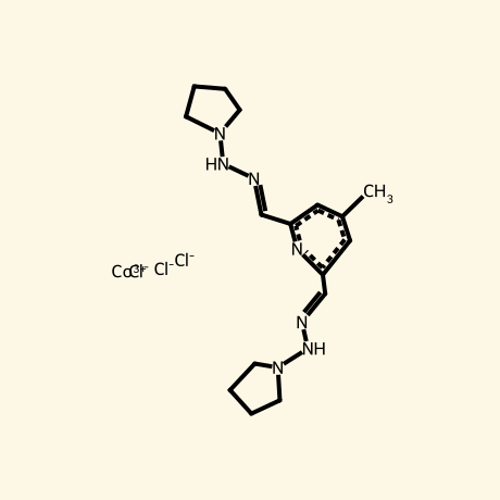 Cc1cc(C=NNN2CCCC2)nc(C=NNN2CCCC2)c1.[Cl-].[Cl-].[Cl-].[Co+3]